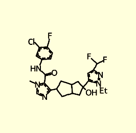 CCn1nc(C(F)F)cc1C1(O)CC2CC(c3ncn(C)c3C(=O)Nc3ccc(F)c(Cl)c3)CC2C1